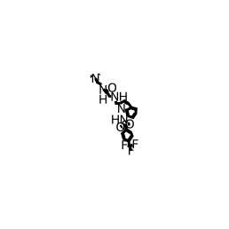 CN(C)CCNC(=O)CNCc1ccc2cccc(NS(=O)(=O)c3ccc(C(F)(F)F)cc3)c2n1